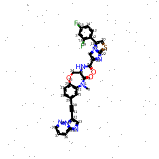 CN1C(=O)C(NC(=O)c2cn3c(-c4ccc(F)cc4F)csc3n2)COc2ccc(C#Cc3cnc4cccnn34)cc21